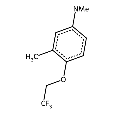 CNc1ccc(OCC(F)(F)F)c(C)c1